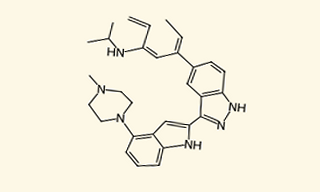 C=C/C(=C\C(=C/C)c1ccc2[nH]nc(-c3cc4c(N5CCN(C)CC5)cccc4[nH]3)c2c1)NC(C)C